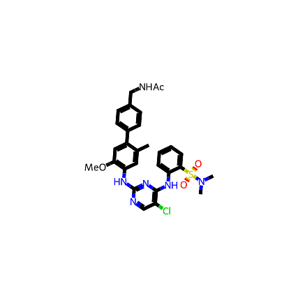 COc1cc(-c2ccc(CNC(C)=O)cc2)c(C)cc1Nc1ncc(Cl)c(Nc2ccccc2S(=O)(=O)N(C)C)n1